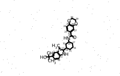 CN1c2cc(C(C)(C)O)ccc2NC1C1CCCC(NC(=O)c2ccc3c(c2)OCCO3)C1